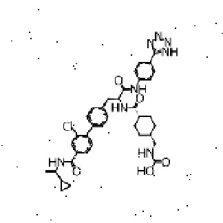 CC(NC(=O)c1ccc(-c2ccc(C[C@H](NC(=O)[C@H]3CC[C@H](CNC(=O)O)CC3)C(=O)Nc3ccc(-c4nnn[nH]4)cc3)cc2)c(Cl)c1)C1CC1